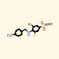 CNS(=O)(=O)c1cc(F)c(NCc2ccc(C(F)(F)F)cc2)c(Br)c1